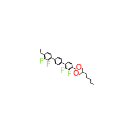 C/C=C/CCC1COC(c2ccc(-c3ccc(-c4ccc(CC)c(F)c4F)cc3)c(F)c2F)OC1